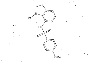 COc1ccc(S(=O)(=O)Nc2cccc3c2N(C(C)=O)CC3)cc1